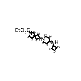 CCOC(=O)N1CCC2(CC(N3CCC(NC4CCC4)CC3)C2)C1